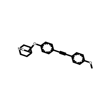 COc1ccc(C#Cc2ccc(OC3CN4CCC3CC4)cc2)cc1